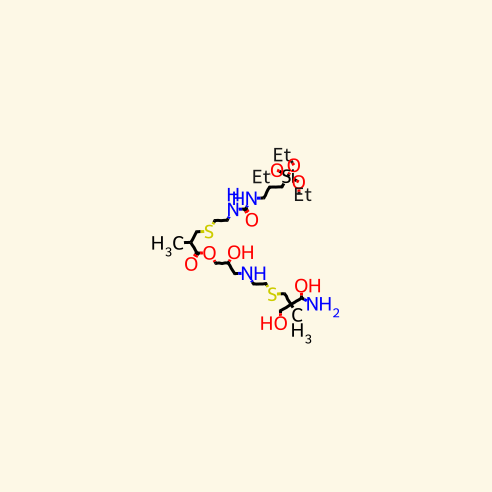 CCO[Si](CCCNC(=O)NCCSCC(C)C(=O)OCC(O)CNCCSCC(C)(CO)C(N)O)(OCC)OCC